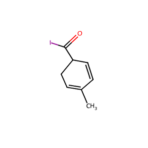 CC1=CCC(C(=O)I)C=C1